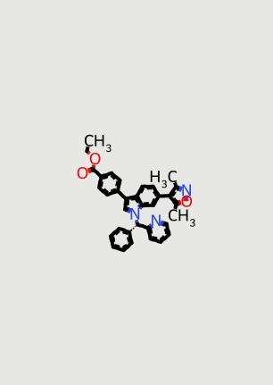 CCOC(=O)c1ccc(-c2cn([C@@H](c3ccccc3)c3ccccn3)c3cc(-c4c(C)noc4C)ccc23)cc1